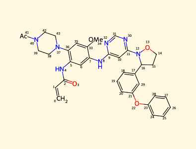 C=CC(=O)Nc1cc(Nc2cc(N3OCCC3c3cccc(Oc4ccccc4)c3)ncn2)c(OC)cc1N1CCN(C(C)=O)CC1